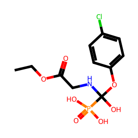 CCOC(=O)CNC(O)(Oc1ccc(Cl)cc1)P(=O)(O)O